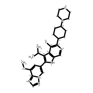 COc1cc(-c2[nH]c3cnc(C4CCC(N5CCOCC5)CC4)c(F)c3c2C(C)C)cn2ncnc12